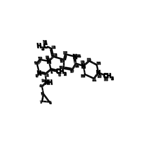 C=C1C(NCC2CC2)=NC=CN1/C(=C\C)c1ccc(N2CCN(C)CC2)nc1